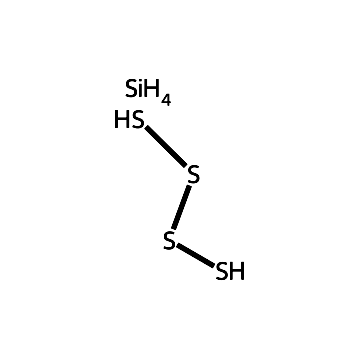 SSSS.[SiH4]